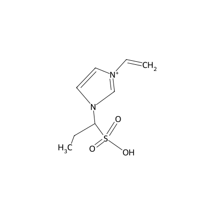 C=C[n+]1ccn(C(CC)S(=O)(=O)O)c1